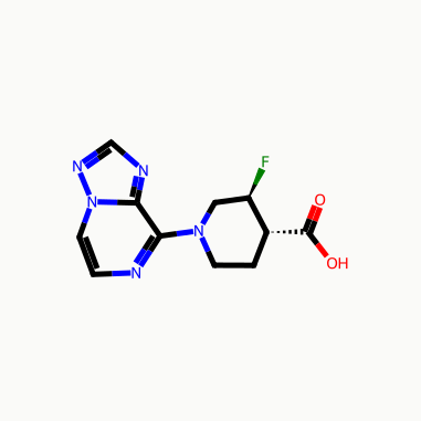 O=C(O)[C@@H]1CCN(c2nccn3ncnc23)C[C@H]1F